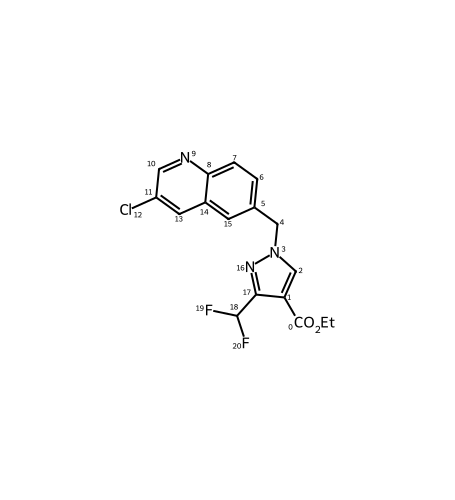 CCOC(=O)c1cn(Cc2ccc3ncc(Cl)cc3c2)nc1C(F)F